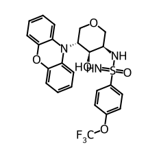 N=S(=O)(N[C@@H]1COC[C@@H](N2c3ccccc3Oc3ccccc32)[C@@H]1O)c1ccc(OC(F)(F)F)cc1